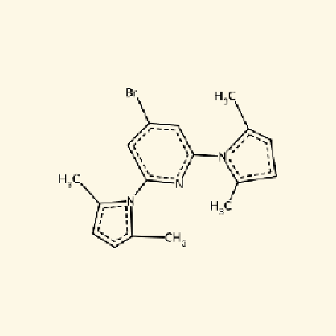 Cc1ccc(C)n1-c1cc(Br)cc(-n2c(C)ccc2C)n1